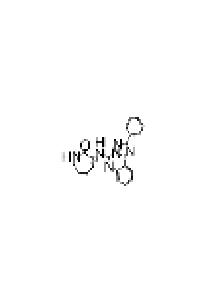 O=C1NCCCC[C@H]1Nc1nc2ccccc2c2nc(-c3ccccc3)nn12